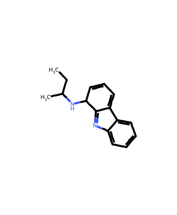 CCC(C)NC1C=CC=C2C1=Nc1ccccc12